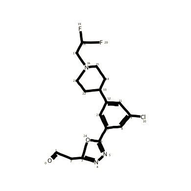 O=CCc1nnc(-c2cc(Cl)cc(C3CCN(CC(F)F)CC3)c2)o1